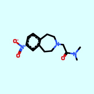 CN(C)C(=O)CN1CCc2ccc([N+](=O)[O-])cc2CC1